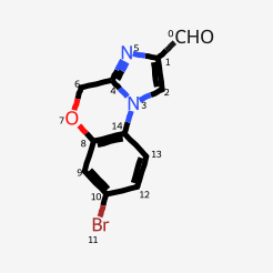 O=Cc1cn2c(n1)COc1cc(Br)ccc1-2